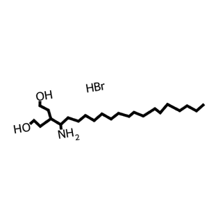 Br.CCCCCCCCCCCCCCCCCC(N)C(CCO)CCO